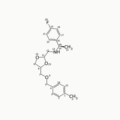 Cc1ccc(COCC2COC(CN[C@H](C)c3ccc(F)cc3)O2)cc1